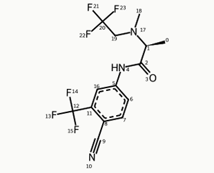 C[C@@H](C(=O)Nc1ccc(C#N)c(C(F)(F)F)c1)N(C)CC(F)(F)F